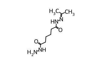 CC(C)=NNC(=O)CCCCC(=O)NN